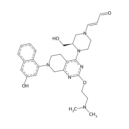 CN(C)CCOc1nc2c(c(N3CCN(C=CC=O)C[C@@H]3CO)n1)CCN(c1cc(O)cc3ccccc13)C2